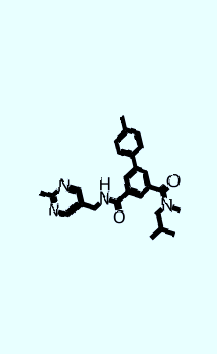 Cc1ccc(-c2cc(C(=O)NCc3cnc(C)nc3)cc(C(=O)N(C)CC(C)C)c2)cc1